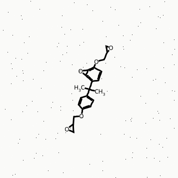 CC(C)(c1ccc(OCC2CO2)cc1)c1ccc(OCC2CO2)c2c1O2